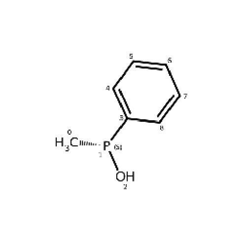 C[P@@](O)c1ccccc1